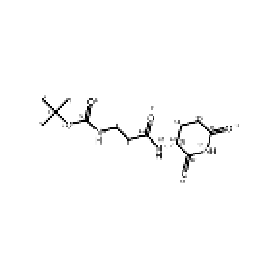 CC(C)(C)OC(=O)NCCC(=O)N[C@@H]1CCC(=O)NC1=O